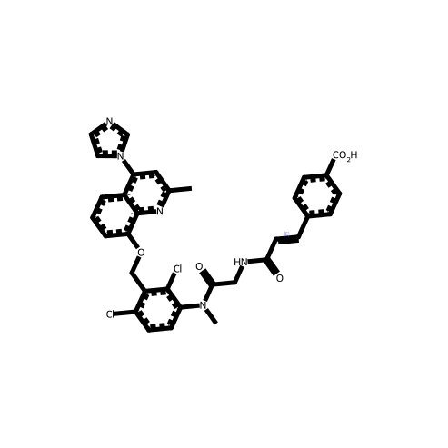 Cc1cc(-n2ccnc2)c2cccc(OCc3c(Cl)ccc(N(C)C(=O)CNC(=O)/C=C/c4ccc(C(=O)O)cc4)c3Cl)c2n1